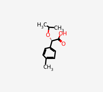 Cc1ccc([C@H](OC(C)C)C(=O)O)cc1